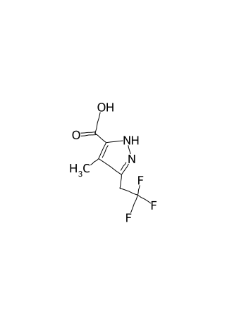 Cc1c(CC(F)(F)F)n[nH]c1C(=O)O